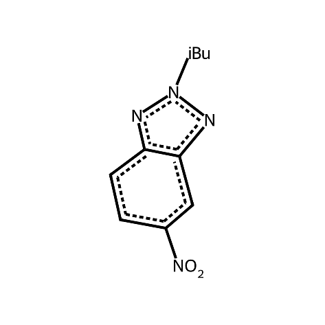 CCC(C)n1nc2ccc([N+](=O)[O-])cc2n1